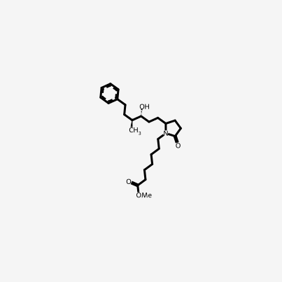 COC(=O)CCCCCCN1C(=O)CCC1CC[C@@H](O)[C@@H](C)CCc1ccccc1